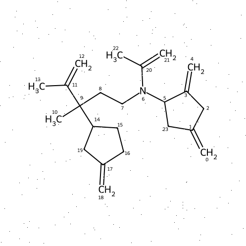 C=C1CC(=C)C(N(CCC(C)(C(=C)C)C2CCC(=C)C2)C(=C)C)C1